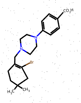 CC1(C)CCC(CN2CCN(c3ccc(C(=O)O)cc3)CC2)=C(Br)C1